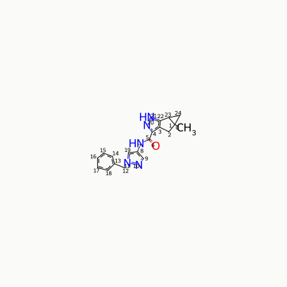 CC12Cc3c(C(=O)Nc4cnn(Cc5ccccc5)c4)n[nH]c3C1C2